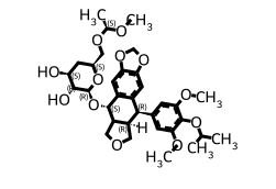 COc1cc([C@@H]2c3cc4c(cc3[C@@H](O[C@@H]3O[C@H](CO[C@@H](C)OC)C[C@H](O)[C@H]3O)C3COC[C@@H]32)OCO4)cc(OC)c1OC(C)C